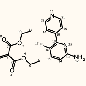 C=C(C(=O)OCC)C(=O)OCC.Nc1ccc(F)c(-c2ccncc2)n1